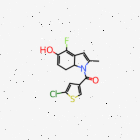 CC1=[C]C2=C(F)C(O)=CCC2N1C(=O)c1csc(Cl)c1